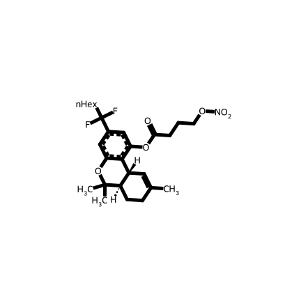 CCCCCCC(F)(F)c1cc(OC(=O)CCCO[N+](=O)[O-])c2c(c1)OC(C)(C)[C@@H]1CCC(C)=C[C@@H]21